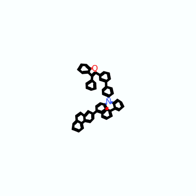 c1ccc(-c2ccccc2N(c2ccc(-c3cccc(-c4oc5ccccc5c4-c4ccccc4)c3)cc2)c2ccc(-c3ccc4c(ccc5ccccc54)c3)cc2)cc1